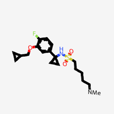 CNCCCCCS(=O)(=O)NC1(c2ccc(F)c(OCC3CC3)c2)CC1